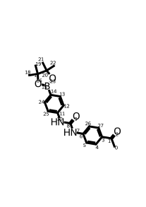 CC(=O)c1ccc(NC(=O)Nc2ccc(B3OC(C)(C)C(C)(C)O3)cc2)cc1